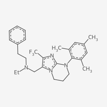 CCN(CCc1ccccc1)Cc1c(C(F)(F)F)nc2n1CCCN2c1c(C)cc(C)cc1C